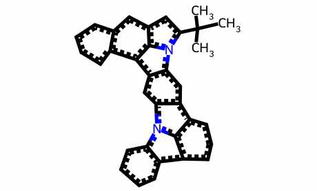 CC(C)(C)c1cc2cc3ccccc3c3c4cc5c(cc4n1c23)c1cccc2c3ccccc3n5c21